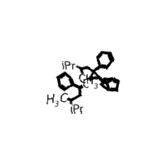 CC(C)C(C)CC(=C=C1C(=C2C3=CC=C2C=C3)C1(CC(C)C(C)C)c1ccccc1)c1ccccc1